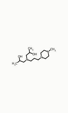 CC(O)CN(CCCN1CCN(C)CC1)CC(C)O